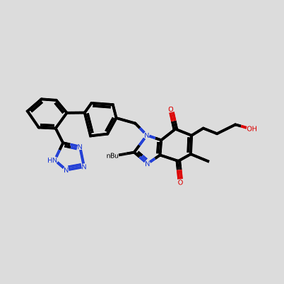 CCCCc1nc2c(n1Cc1ccc(-c3ccccc3-c3nnn[nH]3)cc1)C(=O)C(CCCO)=C(C)C2=O